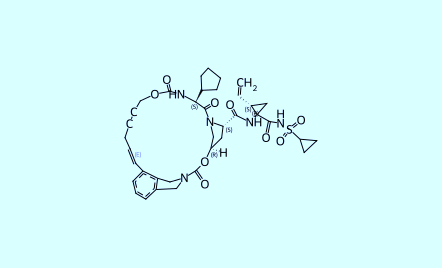 C=C[C@@H]1C[C@]1(NC(=O)[C@@H]1C[C@@H]2CN1C(=O)[C@H](C1CCCC1)NC(=O)OCCCC/C=C/c1cccc3c1CN(C3)C(=O)O2)C(=O)NS(=O)(=O)C1CC1